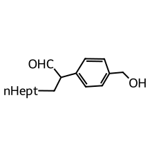 CCCCCCCCC(C=O)c1ccc(CO)cc1